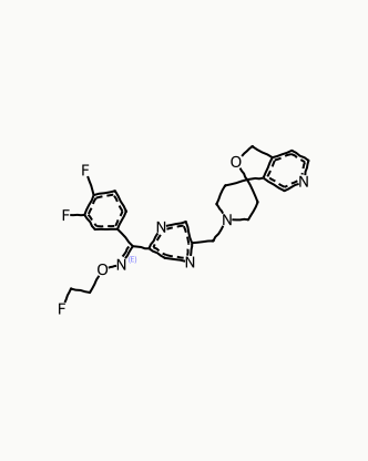 FCCO/N=C(\c1ccc(F)c(F)c1)c1cnc(CN2CCC3(CC2)OCc2ccncc23)cn1